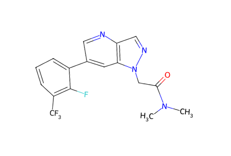 CN(C)C(=O)Cn1ncc2ncc(-c3cccc(C(F)(F)F)c3F)cc21